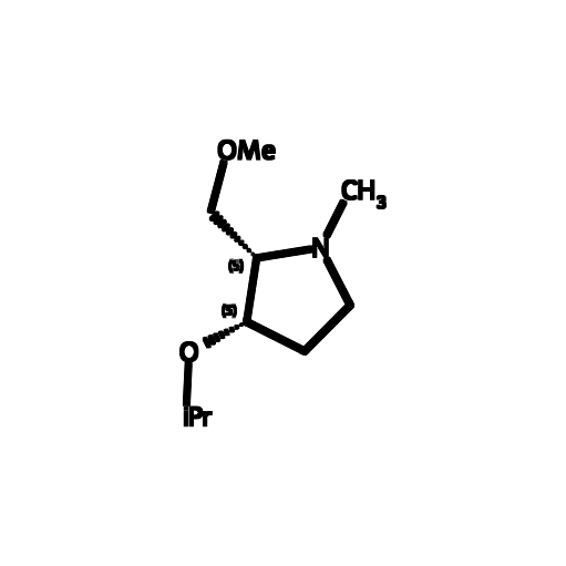 COC[C@H]1[C@@H](OC(C)C)CCN1C